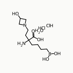 Cl.Cl.NC(CCCCB(O)O)(CCN1CC(O)C1)C(=O)O.O